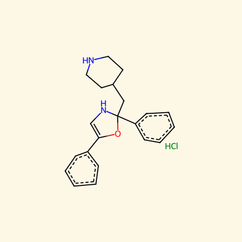 C1=C(c2ccccc2)OC(CC2CCNCC2)(c2ccccc2)N1.Cl